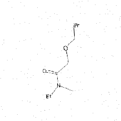 CCN(C)C(=O)COCC(C)C